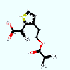 C=C(C)C(=O)OCCc1ccsc1C(=C)C(=O)O